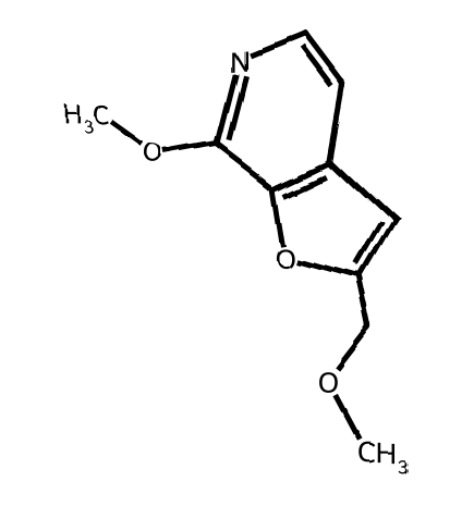 COCc1cc2ccnc(OC)c2o1